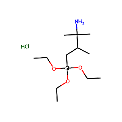 CCO[Si](CC(C)C(C)(C)N)(OCC)OCC.Cl